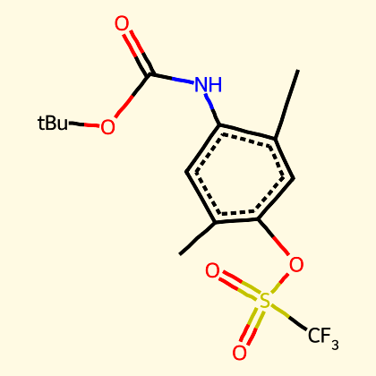 Cc1cc(OS(=O)(=O)C(F)(F)F)c(C)cc1NC(=O)OC(C)(C)C